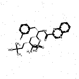 CC(C)(O)CC[C@H](C[C@@H](OP(=O)(O)O)[C@H](Cc1cccc(F)c1)NC(=O)c1cnc2ccccc2n1)C(N)=O